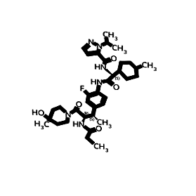 CCC(=O)N[C@@H](C(=O)N1CCC(C)(O)CC1)[C@@H](C)c1ccc(NC(=O)[C@@H](NC(=O)c2ccnn2C(C)C)C2CCC(C)CC2)c(F)c1